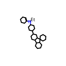 CCN(C1=CCCCC1)C1CCC(C2CCC3C4CCCCC4C4(CCCCC4)C3C2)CC1